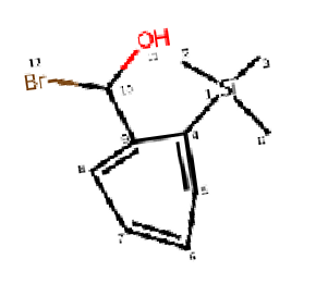 C[Si](C)(C)c1ccccc1C(O)Br